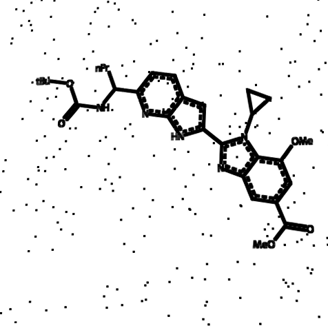 CCCC(NC(=O)OC(C)(C)C)c1ccc2cc(-c3nc4cc(C(=O)OC)cc(OC)c4n3C3CC3)[nH]c2n1